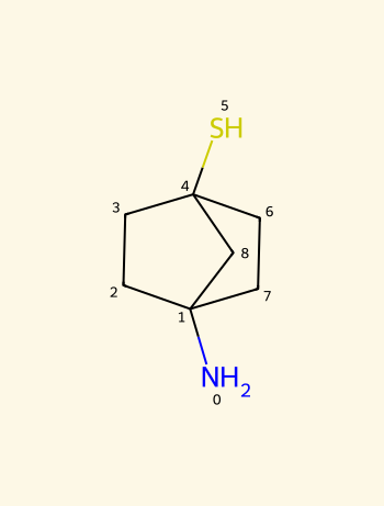 NC12CCC(S)(CC1)C2